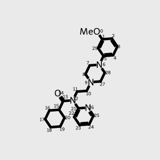 COc1cccc(N2CCN(CCN(C(=O)C3CCCCC3)c3ccccn3)CC2)c1